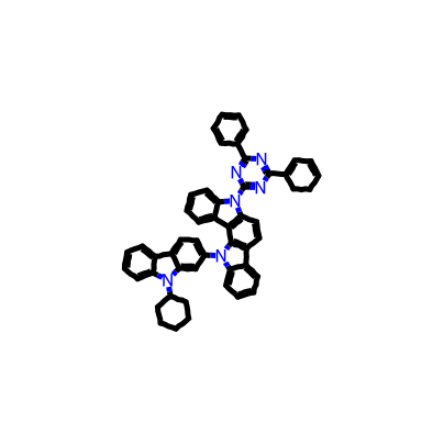 C1=CCCC(c2nc(-c3ccccc3)nc(-n3c4ccccc4c4c3ccc3c5ccccc5n(-c5ccc6c7ccccc7n(C7CCCCC7)c6c5)c34)n2)=C1